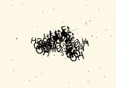 CCc1[nH]cc[n+]1C.CCc1[nH]cc[n+]1C.CCc1[nH]cc[n+]1C.O=C(O)C(=O)O.O=C(O)C(=O)O.O=C(O)C(=O)O.O=S(=O)(O)CS(=O)(=O)O.O=S(=O)(O)CS(=O)(=O)O.O=S(=O)(O)CS(=O)(=O)O.[O-]B([O-])[O-]